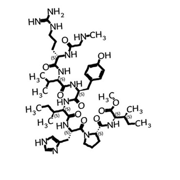 CC[C@H](C)[C@H](NC(=O)[C@H](Cc1ccc(O)cc1)NC(=O)[C@@H](NC(=O)[C@H](CCCNC(=N)N)NC(=O)CNC)C(C)C)C(=O)N[C@@H](Cc1c[nH]cn1)C(=O)N1CCC[C@H]1C(=O)N[C@H](C(=O)OC)[C@@H](C)CC